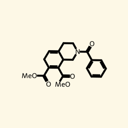 COC(=O)C1=C(C(=O)OC)C2CN(C(=O)c3ccccc3)CCC2=CC1